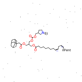 CCCCC/C=C\C/C=C\CCCCCCCC(=O)OCC(COC(=O)CC12CC3CC(CC(C3)C1)C2)COC(=O)OCC1CCN(CC)C1